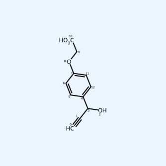 C#CC(O)c1ccc(OCC(=O)O)cc1